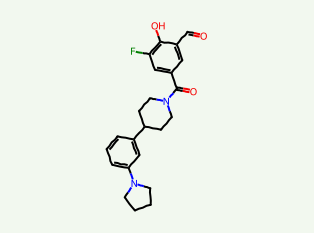 O=Cc1cc(C(=O)N2CCC(c3cccc(N4CCCC4)c3)CC2)cc(F)c1O